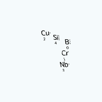 [B].[Cr].[Cu].[Nb].[Si]